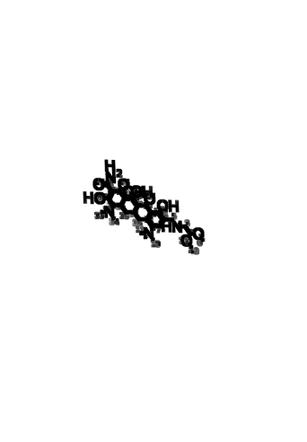 COC(CNCc1cc(N(C)C)c2c(c1O)C(=O)C1=C(O)C3(O)C(=O)C(C(N)=O)=C(O)C(N(C)C)C3CC1C2)OC